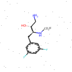 NC[C@@H](O)[C@H](Cc1cc(F)cc(F)c1)NC(=O)O